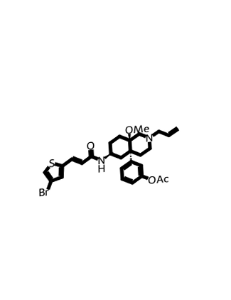 C=CCN1CC[C@@]2(c3cccc(OC(C)=O)c3)C[C@@H](NC(=O)/C=C/c3cc(Br)cs3)CC[C@]2(OC)C1